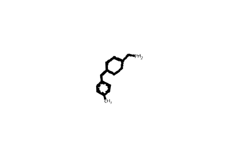 Cc1ccc(CC2CCC(CP)CC2)cc1